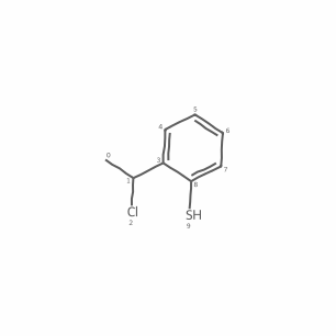 CC(Cl)c1ccccc1S